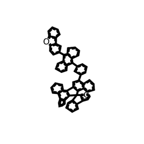 c1cc(-c2cc3c(c4ccccc24)C2(c4ccccc4-c4ccccc42)c2c-3c3ccccc3c3ccccc23)cc(-c2c3ccccc3c(-c3ccc4oc5ccccc5c4c3)c3ccccc23)c1